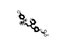 O=C(O)COc1ccc(CC(CCNS(=O)(=O)c2ccc(Cl)cc2)c2cccnc2)cc1